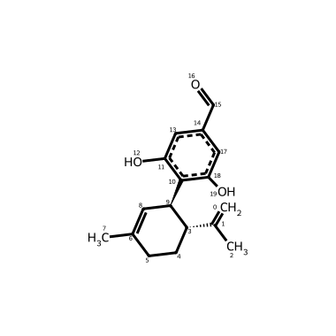 C=C(C)[C@@H]1CCC(C)=C[C@H]1c1c(O)cc(C=O)cc1O